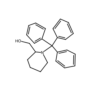 OCC1CCCCN1C(c1ccccc1)(c1ccccc1)c1ccccc1